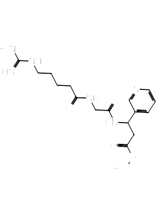 COC(=O)CC(NC(=O)CNC(=O)CCCCNC(=N)N)c1cccnc1